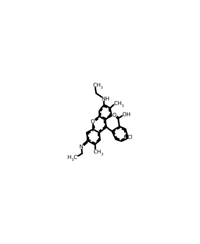 CC/N=c1/cc2oc3cc(NCC)c(C)cc3c(-c3ccccc3C(=O)O)c-2cc1C.Cl